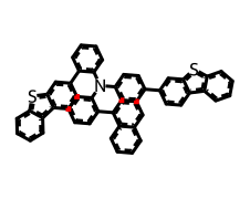 c1ccc(N(c2ccc(-c3ccc4c(c3)sc3ccccc34)cc2)c2ccccc2-c2cccc3ccccc23)c(-c2ccc3c(c2)sc2ccccc23)c1